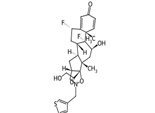 C[C@]12C=CC(=O)C=C1[C@@H](F)C[C@H]1[C@@H]3C[C@H]4CN(Cc5ccsc5)O[C@@]4(C(=O)CO)[C@@]3(C)C[C@H](O)[C@@]12F